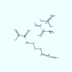 C=C(C)C(=O)OCCCN=C=O.C=CC(N)=O.CC(C)=O